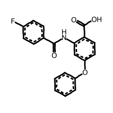 O=C(Nc1cc(Oc2ccccc2)ccc1C(=O)O)c1ccc(F)cc1